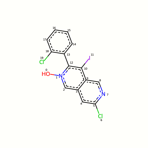 O[n+]1cc2cc(Cl)ncc2c(I)c1-c1ccccc1Cl